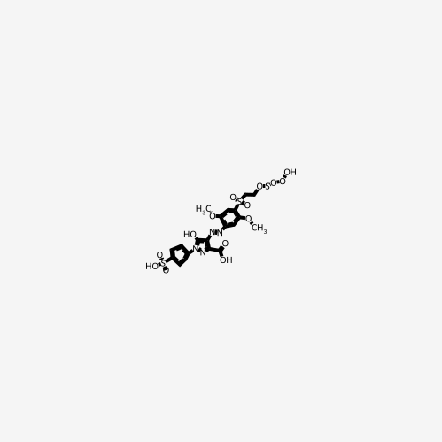 COc1cc(S(=O)(=O)CCOSOOO)c(OC)cc1/N=N/c1c(C(=O)O)nn(-c2ccc(S(=O)(=O)O)cc2)c1O